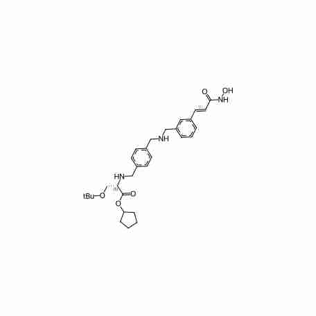 CC(C)(C)OC[C@H](NCc1ccc(CNCc2cccc(/C=C/C(=O)NO)c2)cc1)C(=O)OC1CCCC1